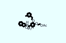 CC(=O)OCCOc1ccc(C(=O)NC2(C(=O)O)Cc3ccccc3C2)cc1OCCc1cccc(C)c1